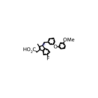 COc1cccc(Oc2cccc(/C=C3/C(C)=C(CC(=O)O)c4cc(F)ccc43)c2)c1